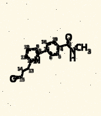 CNC(=O)c1ccc(-c2cccc(CCC=O)n2)cc1